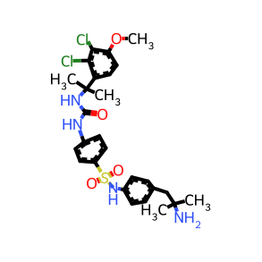 COc1ccc(C(C)(C)NC(=O)Nc2ccc(S(=O)(=O)Nc3ccc(CC(C)(C)N)cc3)cc2)c(Cl)c1Cl